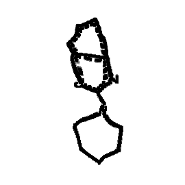 [CH]1CCN(c2nc3ccccc3o2)CC1